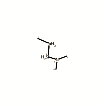 C[SiH2][SiH2]N(C)C